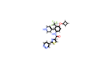 O=C(Nc1ccc(OC2CCC2)c(C(F)(F)F)c1C1=CCNCC1)c1csc(-c2ccnnc2)n1